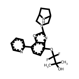 CC(C)(O)C(F)(F)Oc1ccc(-c2ccccn2)c2oc(N3CC4CCC(C3)N4)nc12